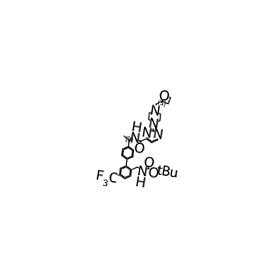 C[C@@H](NC(=O)c1ccnc(N2CCN(C[C@@H]3CCO3)CC2)n1)c1ccc(-c2cc(C(F)(F)F)ccc2CNC(=O)OC(C)(C)C)cc1